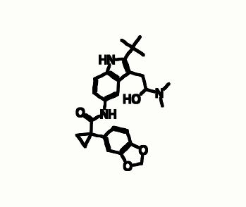 CN(C)C(O)Cc1c(C(C)(C)C)[nH]c2ccc(NC(=O)C3(c4ccc5c(c4)OCO5)CC3)cc12